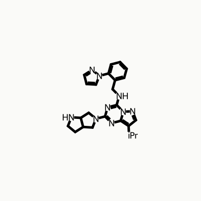 CC(C)c1cnn2c(NCc3ccccc3-n3cccn3)nc(N3CC4CCNC4C3)nc12